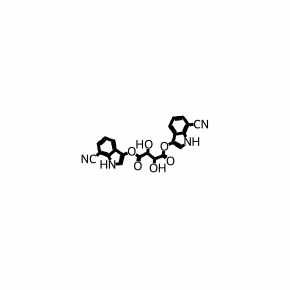 N#Cc1cccc2c(OC(=O)C(O)C(O)C(=O)Oc3c[nH]c4c(C#N)cccc34)c[nH]c12